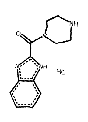 Cl.O=C(c1nc2ccccc2[nH]1)N1CCNCC1